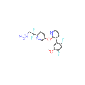 COc1cc(-c2cccnc2Oc2ccc(C(F)(F)CN)nc2)c(F)cc1F